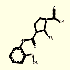 COc1ccccc1NC(=O)C1CCN(C(=O)O)C1N